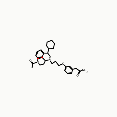 CC(=O)N1CCC(N(CCCOc2cccc(CC(N)=O)c2)CC(c2ccccc2)C2CCCCC2)CC1